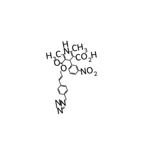 CC1=C(C(=O)O)C(c2cccc([N+](=O)[O-])c2)C(C(=O)OCC=Cc2ccc(Cn3cncn3)cc2)=C(C)N1